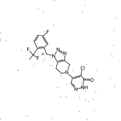 C[C@H](c1cc(F)ccc1C(C)(F)F)n1nnc2c1CCN(c1cn[nH]c(=O)c1Cl)C2